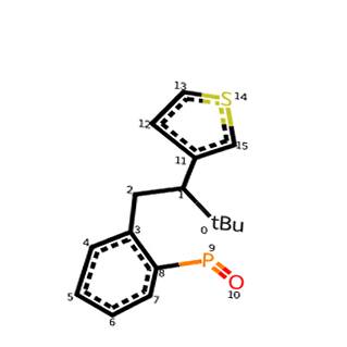 CC(C)(C)C(Cc1ccccc1P=O)c1ccsc1